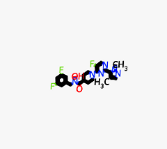 Cc1cnn(C)c1-c1ncc(F)c(N2CCC(C(=O)N(O)Cc3cc(F)cc(F)c3)CC2)n1